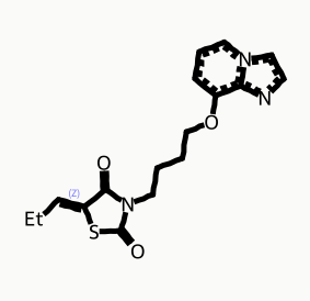 CC/C=C1\SC(=O)N(CCCCOc2cccn3ccnc23)C1=O